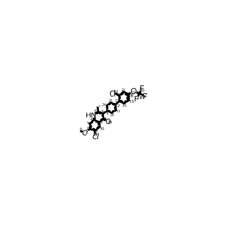 COc1cc2[nH]c(C)c(-c3ccc(-c4ccc(OC(F)(F)F)cc4Cl)cc3)c(=O)c2cc1Cl